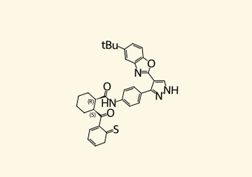 CC(C)(C)c1ccc2oc(-c3c[nH]nc3-c3ccc(NC(=O)[C@@H]4CCCC[C@@H]4C(=O)C4=CC=CCC4=S)cc3)nc2c1